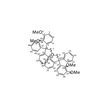 COc1cccc(C(SOSC(c2ccccc2)(c2ccccc2)c2cccc(OC)c2OC)(c2ccccc2)c2ccccc2)c1OC